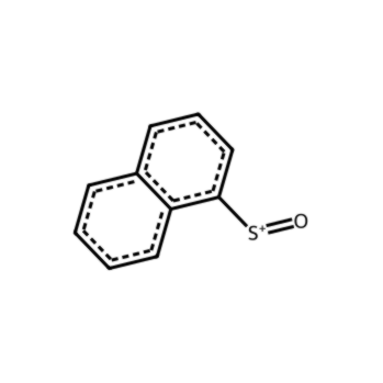 O=[S+]c1cccc2ccccc12